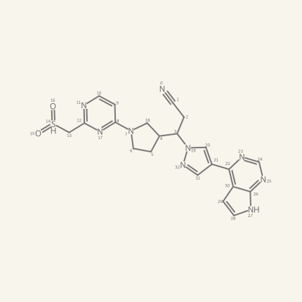 N#CCC(C1CCN(c2ccnc(C[SH](=O)=O)n2)C1)n1cc(-c2ncnc3[nH]ccc23)cn1